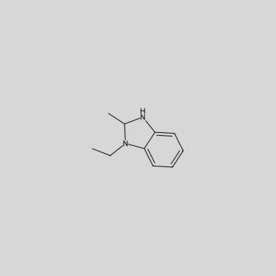 CCN1c2ccccc2NC1C